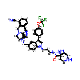 N#Cc1cccc(C#N)c1CN1CC2CC1CN2Cc1ccc2c(c1)c(-c1ccc(OC(F)(F)F)cc1)cn2CCCNC(=O)C1(N)CCNCC1